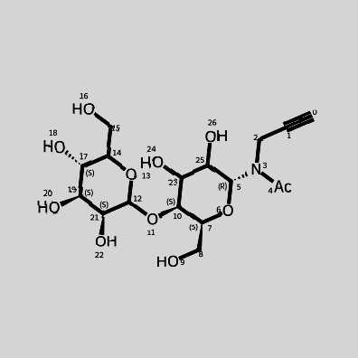 C#CCN(C(C)=O)[C@@H]1O[C@@H](CO)[C@@H](OC2OC(CO)[C@@H](O)[C@H](O)[C@@H]2O)C(O)C1O